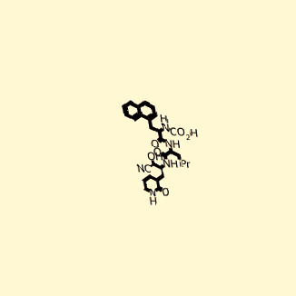 CC(C)CC(NC(=O)C(Cc1cccc2ccccc12)NC(=O)O)C(=O)N[C@@H](CC1CCCNC1=O)[C@H](O)C#N